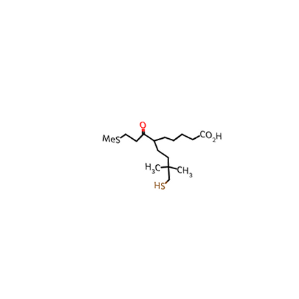 CSCCC(=O)C(CCCCC(=O)O)CCC(C)(C)CS